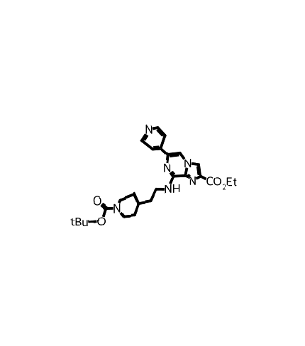 CCOC(=O)c1cn2cc(-c3ccncc3)nc(NCCC3CCN(C(=O)OC(C)(C)C)CC3)c2n1